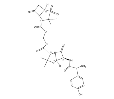 CC1(C)S[C@@H]2[C@H](NC(=O)C(N)c3ccc(O)cc3)C(=O)N2[C@H]1C(=O)OCOC(=O)[C@@H]1N2C(=O)C[C@H]2S(=O)(=O)C1(C)C